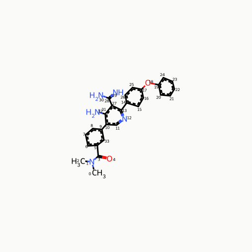 CN(C)C(=O)c1cccc(-c2cnc(-c3ccc(Oc4ccccc4)cc3)c(C(=N)N)c2N)c1